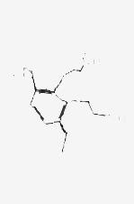 CCc1ccc(N)c(CCO)c1CCO